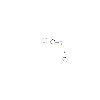 CN1CCN(c2ccc(-c3nnc(CSCCOc4ccccc4)o3)cc2)CC1